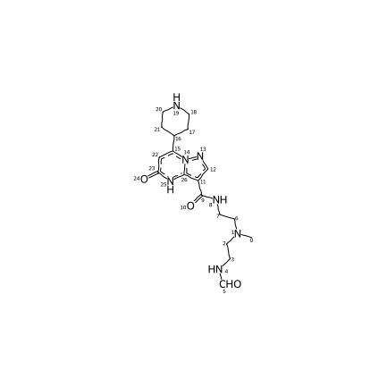 CN(CCNC=O)CCNC(=O)c1cnn2c(C3CCNCC3)cc(=O)[nH]c12